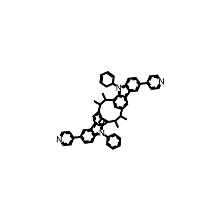 Cc1c2cc3c4cc(-c5ccncc5)ccc4n(-c4ccccc4)c3c1C(C)C(C)c1cc(c3c(c1)c1cc(-c4ccncc4)ccc1n3C1C=CC=CC1)C(C)C2C